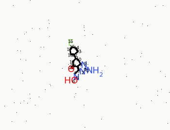 Nc1nc(C=NO)c2c(n1)CC(c1ccc(F)cc1)CC2=O